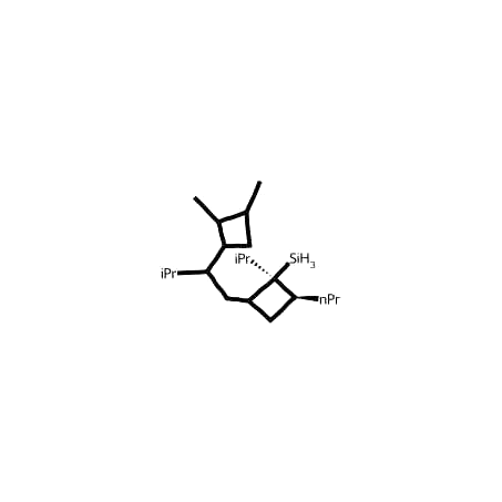 CCC[C@H]1CC(CC(C(C)C)C2CC(C)C2C)[C@]1([SiH3])C(C)C